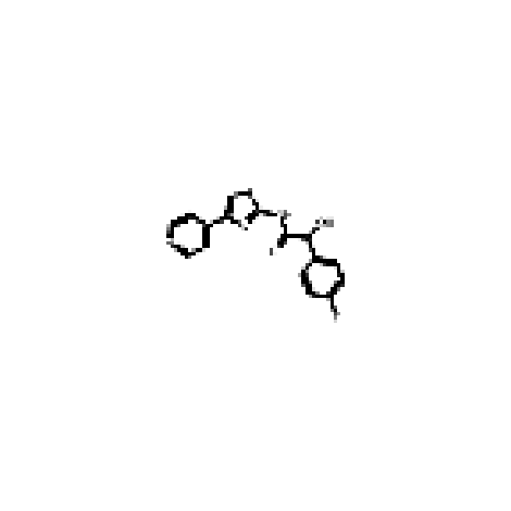 O=C(Nc1nc(-c2ccncc2)cs1)C(O)c1ccc(F)cc1